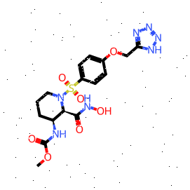 COC(=O)N[C@H]1CCCN(S(=O)(=O)c2ccc(OCc3nnn[nH]3)cc2)[C@H]1C(=O)NO